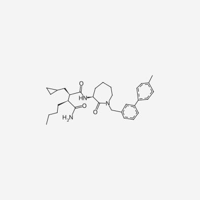 CCCC[C@H](C(N)=O)[C@@H](CC1CC1)C(=O)N[C@H]1CCCCN(Cc2cccc(-c3ccc(C)cc3)c2)C1=O